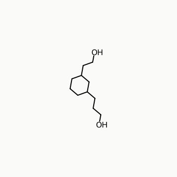 OCCCC1CCCC(CCO)C1